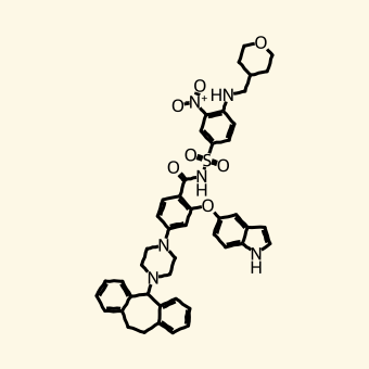 O=C(NS(=O)(=O)c1ccc(NCC2CCOCC2)c([N+](=O)[O-])c1)c1ccc(N2CCN(C3c4ccccc4CCc4ccccc43)CC2)cc1Oc1ccc2[nH]ccc2c1